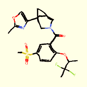 Cc1nc(C23CC2CN(C(=O)c2cc(S(C)(=O)=O)ccc2OC(C)C(C)(F)F)C3)co1